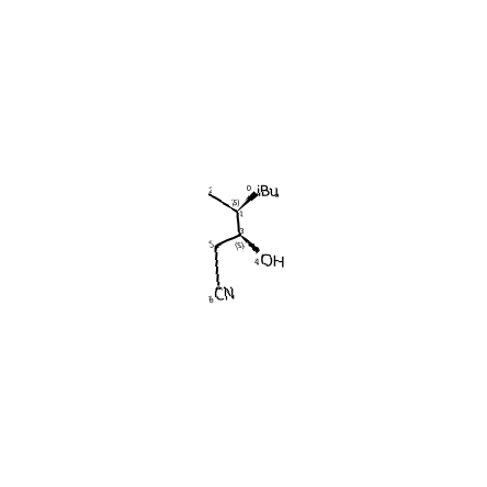 CCC(C)[C@H](C)[C@@H](O)CC#N